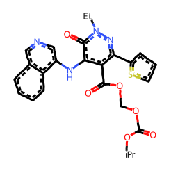 CCn1nc(-c2cccs2)c(C(=O)OCOC(=O)OC(C)C)c(Nc2cncc3ccccc23)c1=O